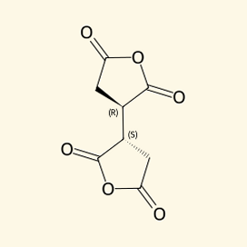 O=C1C[C@@H]([C@H]2CC(=O)OC2=O)C(=O)O1